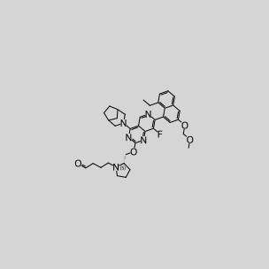 CCc1cccc2cc(OCOC)cc(-c3ncc4c(N5CC6CCC(C6)C5)nc(OC[C@@H]5CCCN5CCCC=O)nc4c3F)c12